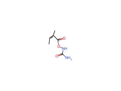 CC=C(C)C(=O)ONC(N)=O